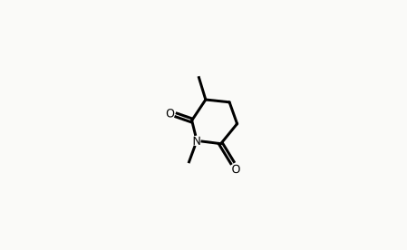 CC1CCC(=O)N(C)C1=O